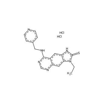 CCn1c(=S)[nH]c2cc3c(NCc4ccncc4)ncnc3cc21.Cl.Cl